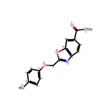 COC(=O)c1ccc2nc(COc3ccc(C(C)(C)C)cc3)oc2c1